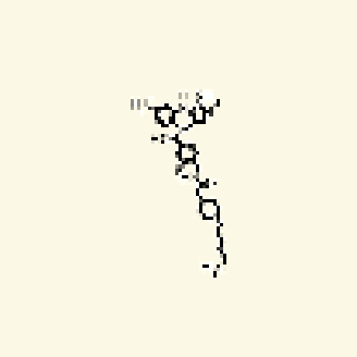 CCCCCCN1CCC(CC(=O)NCc2ccc(C(O)N3Cc4cnn(C)c4Nc4cc(C)ccc43)cc2F)CC1